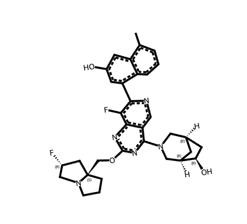 Cc1cccc2c(-c3ncc4c(N5C[C@@H]6C[C@H](C5)[C@H](O)C6)nc(OC[C@@]56CCCN5C[C@H](F)C6)nc4c3F)cc(O)cc12